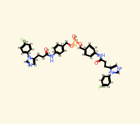 O=C(CCc1cncn1-c1ccc(F)cc1)Nc1ccc(CO[PH](=O)OCc2ccc(NC(=O)CCc3cncn3-c3ccc(F)cc3)cc2)cc1